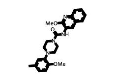 COc1ccc(C)cc1N1CCN(C(=O)Nc2cc3ccccc3nc2OC)CC1